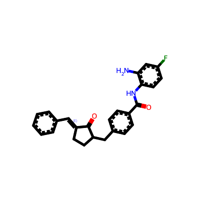 Nc1cc(F)ccc1NC(=O)c1ccc(CC2CC/C(=C\c3ccccc3)C2=O)cc1